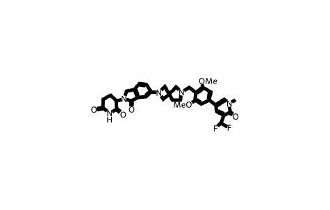 COc1cc(-c2cc(C(F)F)c(=O)n(C)c2)cc(OC)c1CN1CCC2(C1)CN(c1ccc3c(c1)C(=O)N(C1CCC(=O)NC1=O)C3)C2